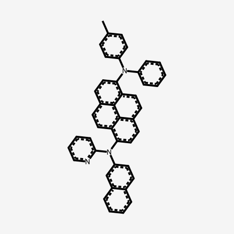 Cc1ccc(N(c2ccccc2)c2ccc3ccc4c(N(c5ccc6ccccc6c5)c5ccccn5)ccc5ccc2c3c54)cc1